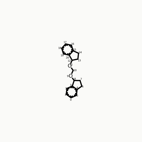 c1ccc2c(c1)CCC2OCOC1CCc2ccccc21